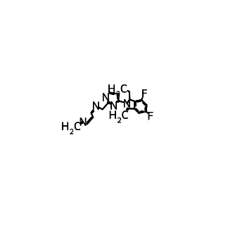 C=N/C=C\C=N/Cc1nccc(N2C(=C)c3cc(F)cc(F)c3C2CC)n1